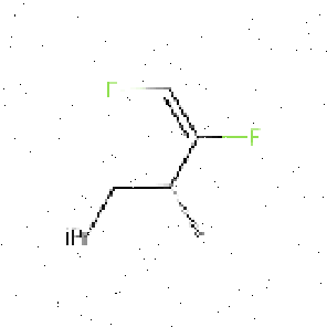 CC(C)C[C@@H](C)/C(F)=C\F